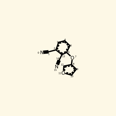 N#Cc1cccc(Oc2ccoc2)c1C#N